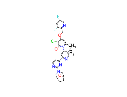 Cc1cnc(-c2ccnc(N3CC4CCC(C3)O4)n2)cc1-n1c(C)cc(OCc2ncc(F)cc2F)c(Cl)c1=O